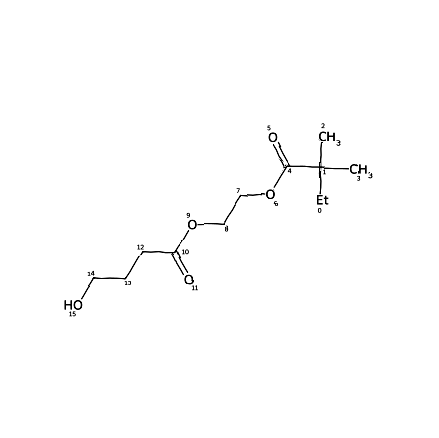 CCC(C)(C)C(=O)OCCOC(=O)CCCO